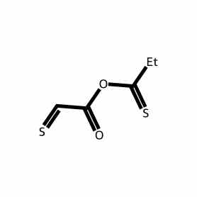 CCC(=S)OC(=O)C=S